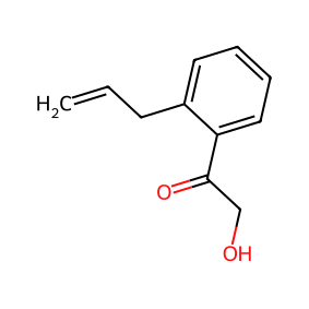 C=CCc1ccccc1C(=O)CO